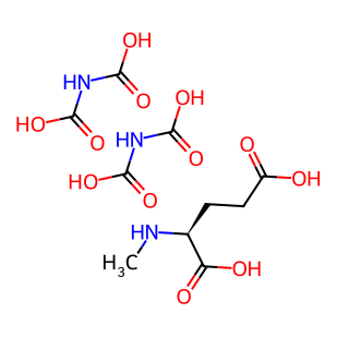 CN[C@@H](CCC(=O)O)C(=O)O.O=C(O)NC(=O)O.O=C(O)NC(=O)O